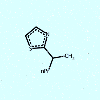 CCCC(C)c1nccs1